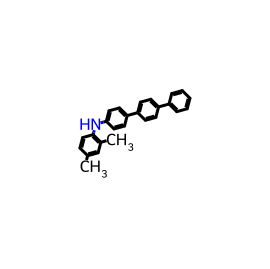 Cc1ccc(Nc2ccc(-c3ccc(-c4ccccc4)cc3)cc2)c(C)c1